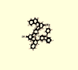 CC(C)(C)c1cc2c3cc4c(nc3n3c5c(-c6ccc7c(c6)c6ccccc6n7-c6ccccc6)cc6ccccc6c5c(c1)c23)c1cc(C(C)(C)C)cc2c3ccc5ccccc5c3n4c21